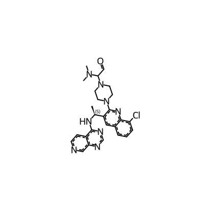 C[C@H](Nc1ncnc2cnccc12)c1cc2cccc(Cl)c2nc1N1CCN(C(C=O)N(C)C)CC1